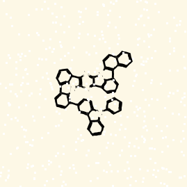 c1ccc(-n2c3ccccc3c3cc(-c4cccc5c6cccc7c8nc9c(nc8n(c45)c67)c4cccc5c6c7ccccc7ccc6n9c45)ccc32)cc1